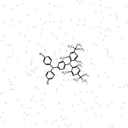 Cc1cc(C(C)(C)C)cc(C)c1N(c1ccc(N(c2ccc(Br)cc2)c2ccc(Br)cc2)cc1)c1c(C)cc(C(C)(C)C)cc1C